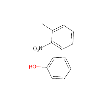 Cc1ccccc1[N+](=O)[O-].Oc1ccccc1